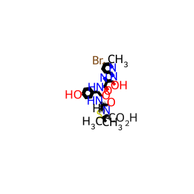 Cc1nc2nc(O)c(C(=O)NC(C(=O)N[C@@H]3C(=O)N4[C@@H]3SC(C)(C)[C@@H]4C(=O)O)c3ccc(O)cc3)nc2cc1Br